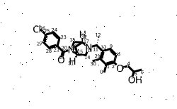 Cc1c(OCC(C)O)ccc([C@@H](C)N2C[C@H]3C[C@@H]2CN3C(=O)c2ccc(Cl)cc2)c1C